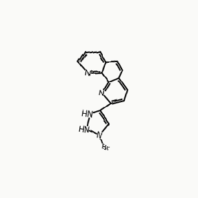 BrN1C=C(c2ccc3ccc4cccnc4c3n2)NN1